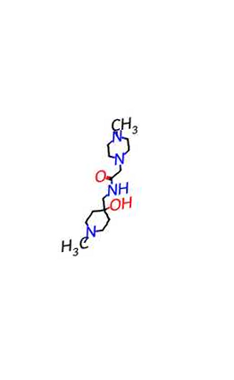 CN1CCN(CC(=O)NCC2(O)CCN(C)CC2)CC1